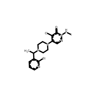 CCc1ncccc1C(C)N1CCN(c2cnn(PI)c(=O)c2Cl)CC1